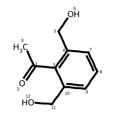 CC(=O)c1c(CO)cccc1CO